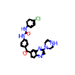 O=C(Nc1ccc(Cl)cc1)Nc1ccc(C(=O)c2ccc3ncc(N4CCNCC4)nc3c2)cc1